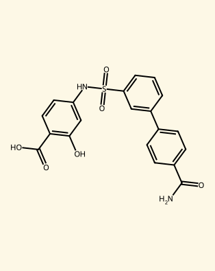 NC(=O)c1ccc(-c2cccc(S(=O)(=O)Nc3ccc(C(=O)O)c(O)c3)c2)cc1